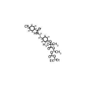 CCC(CC)OC(=O)OC(C)OC(=O)C(C)(C)Oc1ccc(CCNC(=O)c2ccc(Cl)cc2)cc1